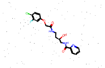 O=C(COc1ccc(Cl)c(F)c1)NCCC(O)CNC(=O)c1ccccn1